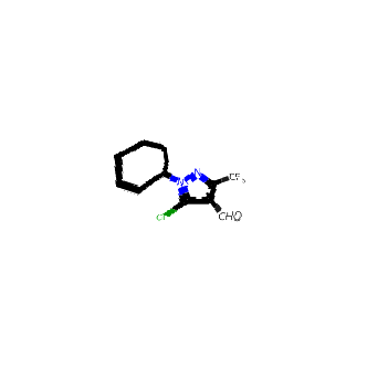 O=Cc1c(C(F)(F)F)nn(C2CCCCC2)c1Cl